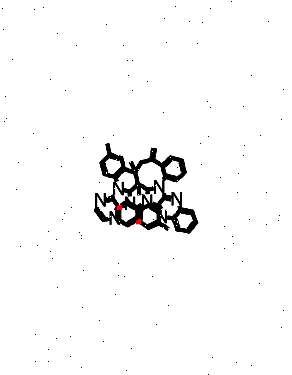 C=C1CC2(C)c3cc(C)ccc3N3c4nccnc4N(c4ccc(C)cc4)C3C2(C)C2N(c3ccccc3)c3nc4ccccc4nc3N2c2ccccc21